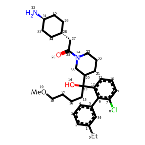 CCc1cccc(-c2c(Cl)cccc2C(O)(CCCCOC)C2CCCN(C(=O)C[C@H]3CC[C@H](N)CC3)C2)c1